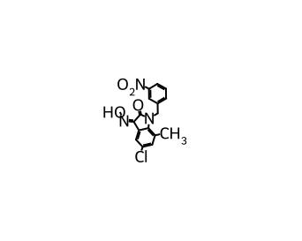 Cc1cc(Cl)cc2c1N(Cc1cccc([N+](=O)[O-])c1)C(=O)/C2=N\O